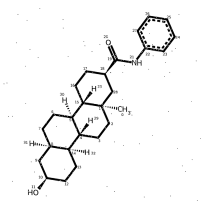 C[C@]12CC[C@H]3[C@@H](CC[C@@H]4C[C@H](O)CC[C@@H]43)[C@@H]1CC[C@@H](C(=O)Nc1ccccc1)C2